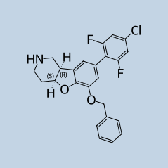 Fc1cc(Cl)cc(F)c1-c1cc(OCc2ccccc2)c2c(c1)[C@@H]1CNCC[C@@H]1O2